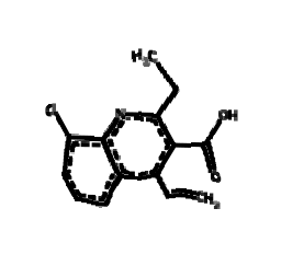 C=Cc1c(C(=O)O)c(CC)nc2c(Cl)cccc12